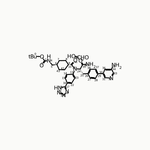 CC(C)(C)OC(=O)NC[C@H]1CC[C@H](C(=O)N(c2ccc(-c3nnn[nH]3)cc2)[C@@H](Cc2ccc(-c3cncc(N)c3)cc2)C(N)=O)CC1.O=CO